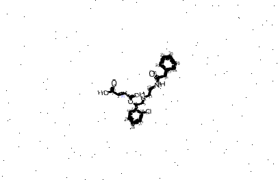 O=C(O)/C=C/C(=O)OC(CNCCNC(=O)Cc1ccccc1)c1ccccc1Cl